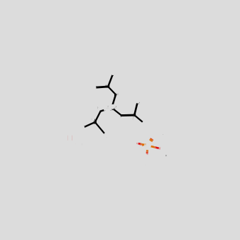 CC(C)[CH2][Al]([CH2]C(C)C)[CH2]C(C)C.O.O=P(O)(O)O